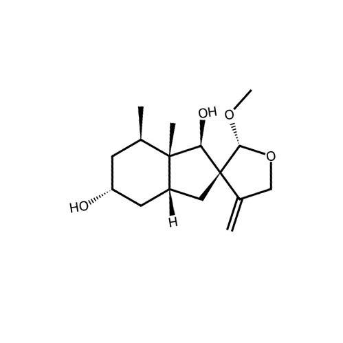 C=C1CO[C@@H](OC)[C@]12C[C@@H]1C[C@H](O)C[C@@H](C)[C@]1(C)[C@H]2O